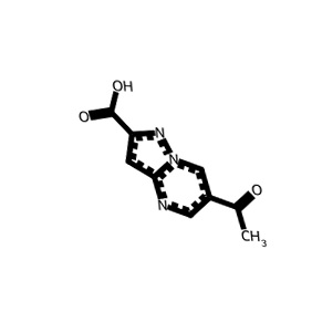 CC(=O)c1cnc2cc(C(=O)O)nn2c1